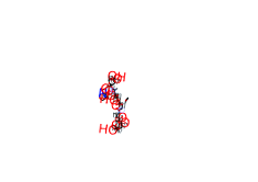 C=CC[C@H](/C=C(\C)C[C@H](C)C[C@H](OC)[C@H]1O[C@H](O)[C@H](C)C[C@@H]1OC)C(=O)C[C@H](O)[C@@H](C)[C@H](OC(=O)[C@@H]1CCCCN1C(C)=O)/C(C)=C/[C@@H]1CC[C@@H](O)[C@H](OC)C1